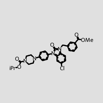 COC(=O)c1cccc(Cn2c(=O)n(-c3ccc(N4CCN(C(=O)OC(C)C)CC4)cc3)c3cc(Cl)ccc32)c1